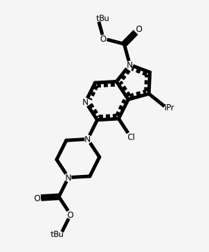 CC(C)c1cn(C(=O)OC(C)(C)C)c2cnc(N3CCN(C(=O)OC(C)(C)C)CC3)c(Cl)c12